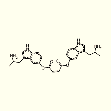 CC(N)Cc1c[nH]c2ccc(OC(=O)/C=C\C(=O)Oc3ccc4[nH]cc(CC(C)N)c4c3)cc12